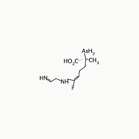 C[C@]([AsH2])(CC/C=C(/F)CNCC=N)C(=O)O